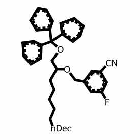 CCCCCCCCCCCCCCCC(COC(c1ccccc1)(c1ccccc1)c1ccccc1)OCc1cc(F)cc(C#N)c1